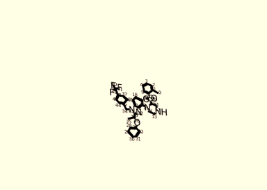 Cc1ccccc1S(=O)(=O)C1CNCCN1c1cccc2c1nc(C(C)Oc1ccccc1)n2Cc1ccc(C(F)(F)F)cc1